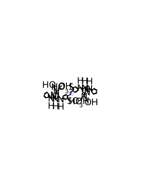 O=S(=O)(O)c1cc(NC2=CC(N(CCO)CCO)=NN(Nc3ccccc3)N2)ccc1/C=C/c1ccc(NC2=CC(N(CCO)CCO)=NN(Nc3ccccc3)N2)cc1S(=O)(=O)O